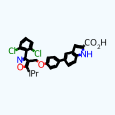 CC(C)c1onc(-c2c(Cl)cccc2Cl)c1COc1ccc(-c2ccc3[nH]c(C(=O)O)cc3c2)cc1